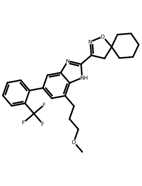 COCCCc1cc(-c2ccccc2C(F)(F)F)cc2nc(C3=NOC4(CCCCC4)C3)[nH]c12